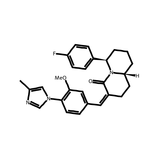 COc1cc(C=C2CC[C@H]3CCC[C@H](c4ccc(F)cc4)N3C2=O)ccc1-n1cnc(C)c1